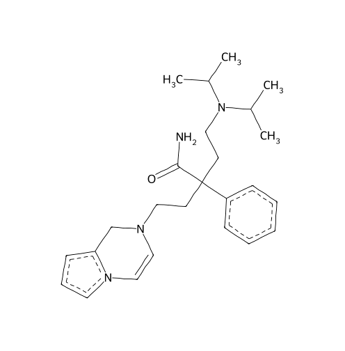 CC(C)N(CCC(CCN1C=Cn2cccc2C1)(C(N)=O)c1ccccc1)C(C)C